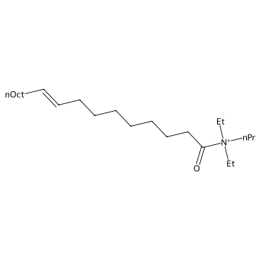 CCCCCCCCC=CCCCCCCCC(=O)[N+](CC)(CC)CCC